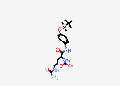 CC(C)(C)[Si](C)(C)Oc1ccc(NC(=O)C(CCCNC(N)=O)NC(=O)O)cc1